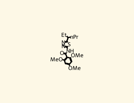 CCCC(CC)c1nnc(NC(=O)c2c(OC)cc(OC)cc2OC)s1